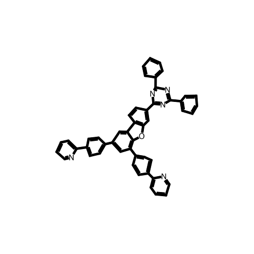 c1ccc(-c2nc(-c3ccccc3)nc(-c3ccc4c(c3)oc3c(-c5ccc(-c6ccccn6)cc5)cc(-c5ccc(-c6ccccn6)cc5)cc34)n2)cc1